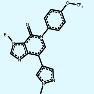 CCn1cnc2c(-c3cnn(C)c3)cn(-c3ccc(OC(F)(F)F)cc3)c(=O)c21